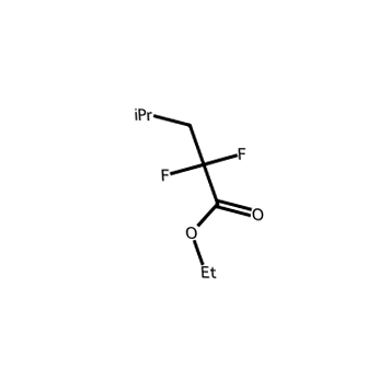 CCOC(=O)C(F)(F)CC(C)C